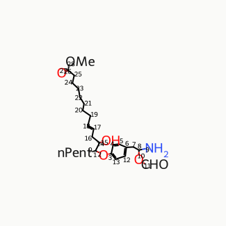 CCCCCC(Oc1ccc(CC(N)OC=O)cc1)C(O)CC=CCCCCCCCC(=O)OC